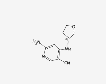 N#Cc1cnc(N)cc1N[C@@H]1CCOC1